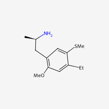 CCc1cc(OC)c(C[C@@H](C)N)cc1SC